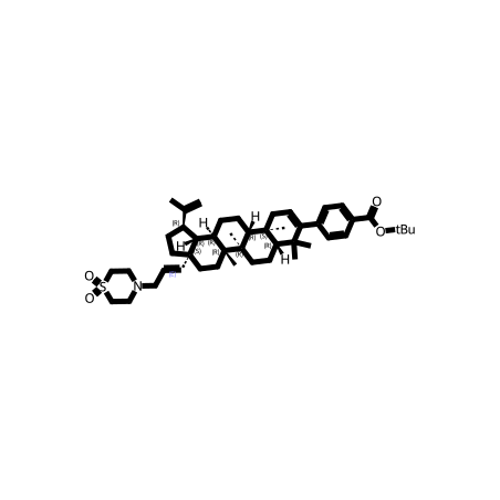 C=C(C)[C@@H]1CC[C@]2(/C=C/CN3CCS(=O)(=O)CC3)CC[C@]3(C)[C@H](CC[C@@H]4[C@@]5(C)CC=C(c6ccc(C(=O)OC(C)(C)C)cc6)C(C)(C)[C@@H]5CC[C@]43C)[C@@H]12